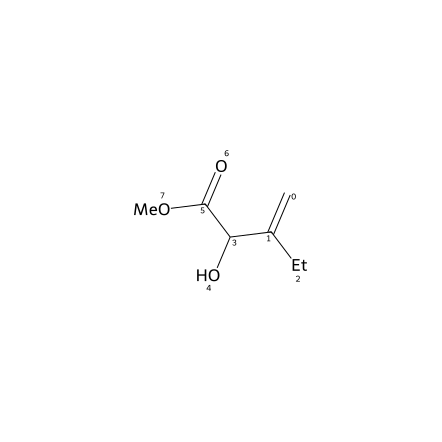 C=C(CC)C(O)C(=O)OC